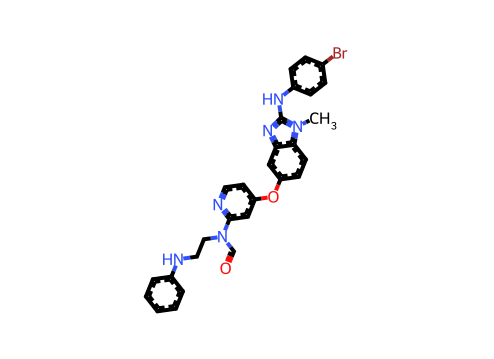 Cn1c(Nc2ccc(Br)cc2)nc2cc(Oc3ccnc(N(C=O)CCNc4ccccc4)c3)ccc21